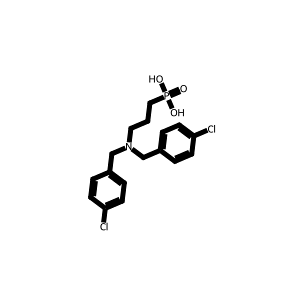 O=P(O)(O)CCCN(Cc1ccc(Cl)cc1)Cc1ccc(Cl)cc1